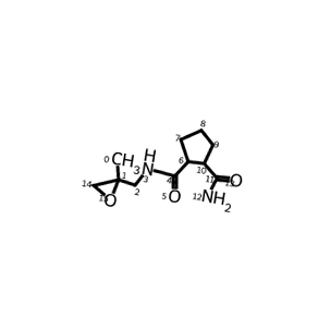 CC1(CNC(=O)C2CCCC2C(N)=O)CO1